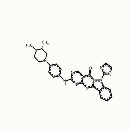 C[C@@H]1CN(c2ccc(Nc3ncc4c(=O)n5c(nc4n3)c3ccccc3n5-c3nccs3)cc2)CCN1C